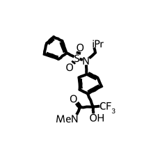 CNC(=O)C(O)(c1ccc(N(CC(C)C)S(=O)(=O)c2ccccc2)cc1)C(F)(F)F